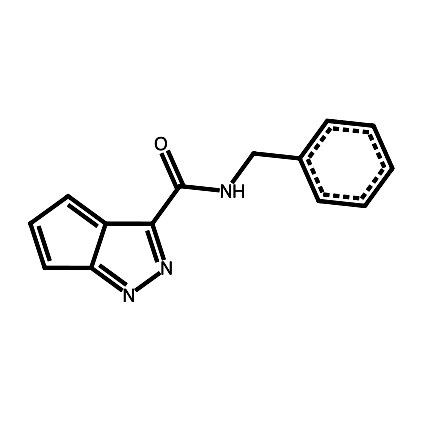 O=C(NCc1ccccc1)C1=NN=C2C=CC=C21